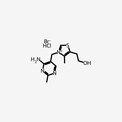 Cc1ncc(C[n+]2csc(CCO)c2C)c(N)n1.Cl.[Br-]